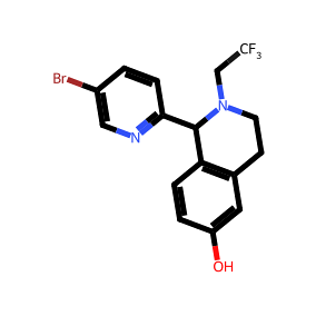 Oc1ccc2c(c1)CCN(CC(F)(F)F)C2c1ccc(Br)cn1